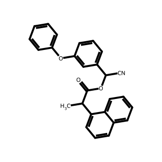 CC(C(=O)OC(C#N)c1cccc(Oc2ccccc2)c1)c1cccc2ccccc12